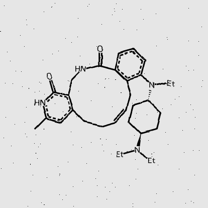 CCN(CC)[C@H]1CC[C@H](N(CC)c2cccc3c2CC=CCCc2cc(C)[nH]c(=O)c2CNC3=O)CC1